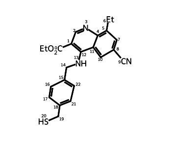 CCOC(=O)c1cnc2c(CC)cc(C#N)cc2c1NCc1ccc(CS)cc1